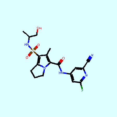 Cc1c(S(=O)(=O)NC(C)CO)c2n(c1C(=O)Nc1cc(F)nc(C#N)c1)CCC2